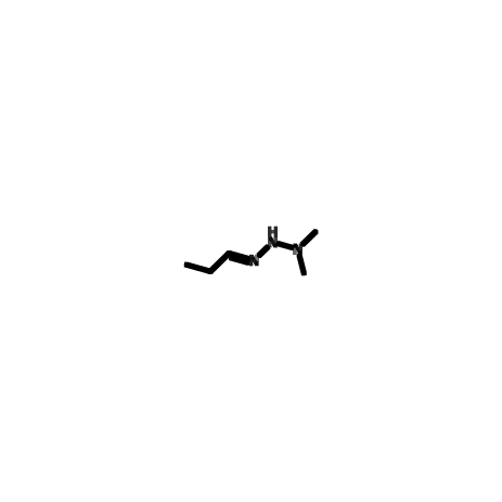 CC/C=N/NN(C)C